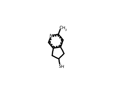 Cc1cc2c(cn1)CC(S)C2